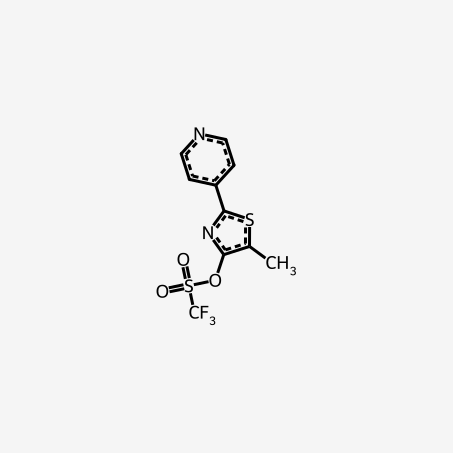 Cc1sc(-c2ccncc2)nc1OS(=O)(=O)C(F)(F)F